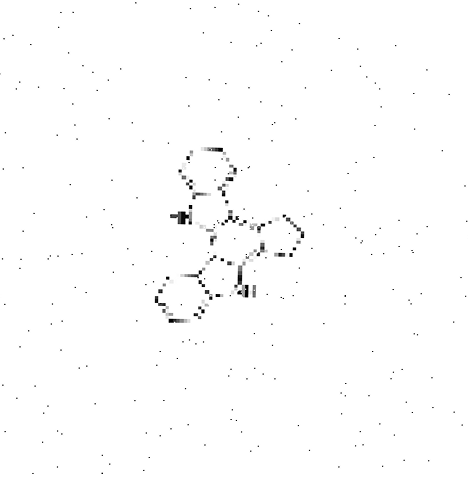 c1ccc2c(c1)[nH]c1c2c2c(c3[nH]c4ccccc4c31)CCC2